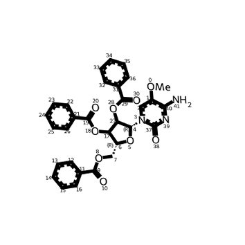 COc1cn([C@@H]2O[C@H](COC(=O)c3ccccc3)C(OC(=O)c3ccccc3)C2OC(=O)c2ccccc2)c(=O)nc1N